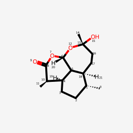 C[C@@H]1CC[C@@H]2C3[C@H](OC(=O)[C@@H]2C)O[C@](C)(O)CC[C@H]31